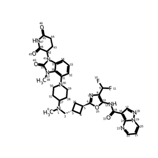 CN(C[C@H]1C[C@H](c2nc(C(F)F)c(NC(=O)c3cnn4cccnc34)o2)C1)C1CCN(c2cccc3c2n(C)c(=O)n3C2CCC(=O)NC2=O)CC1